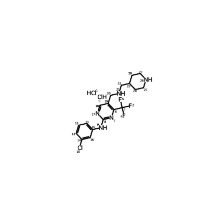 Cl.Cl.FC(F)(F)c1nc(Nc2cccc(Cl)c2)ncc1CNCC1CCNCC1